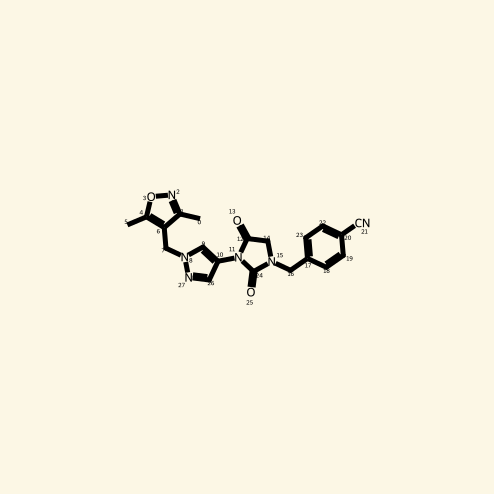 Cc1noc(C)c1Cn1cc(N2C(=O)CN(Cc3ccc(C#N)cc3)C2=O)cn1